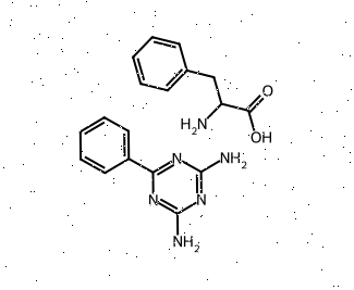 NC(Cc1ccccc1)C(=O)O.Nc1nc(N)nc(-c2ccccc2)n1